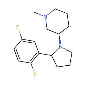 CN1CC[CH][C@@H](N2CCCC2c2cc(F)ccc2F)C1